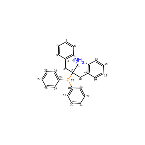 NCC(Cc1ccccc1)(Cc1ccccc1)P(c1ccccc1)c1ccccc1